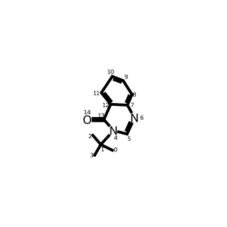 CC(C)(C)n1cnc2ccccc2c1=O